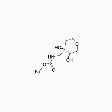 CC(C)(C)OC(=O)NC[C@]1(O)CCOC[C@H]1O